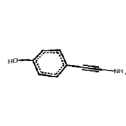 NC#Cc1ccc(O)cc1